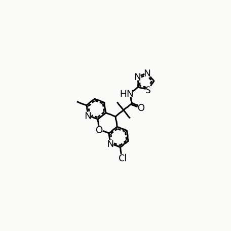 Cc1ccc2c(n1)Oc1nc(Cl)ccc1C2C(C)(C)C(=O)Nc1nncs1